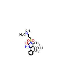 CC1C(C(=O)O)=C(c2ccccc2C(F)(F)F)NC(=O)N1S(=O)(=O)CCCN(C)C